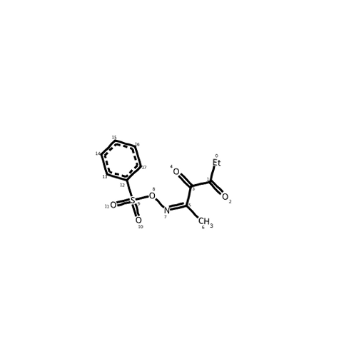 CCC(=O)C(=O)C(C)=NOS(=O)(=O)c1ccccc1